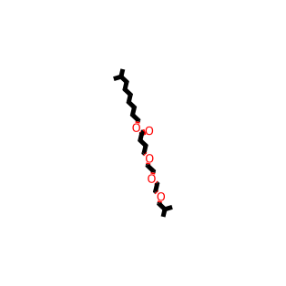 CC(C)CCCCCCCOC(=O)CCCOCCOCCOCC(C)C